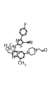 CCc1nc2c(C)cc(N3CCN(CC=O)CC3)cn2c1N(C)c1nc(-c2ccc(F)cc2)c(C#N)s1